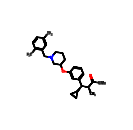 COC(=O)[C@@H](C)[C@H](c1cccc(OC2CCCN(Cc3cc(C(F)(F)F)ccc3C(F)(F)F)C2)c1)C1CC1